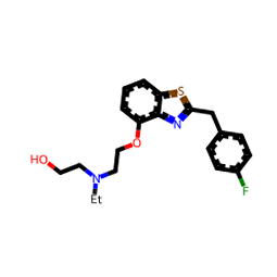 CCN(CCO)CCOc1cccc2sc(Cc3ccc(F)cc3)nc12